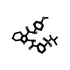 COc1ccc(NC(=O)c2c(NC(=O)c3cccc(S(=O)(=O)N(C)C(C)C)c3)sc3c2CCCC3)cc1